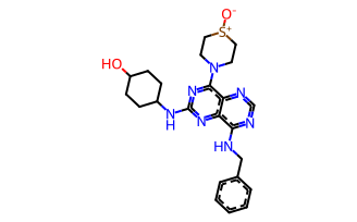 [O-][S+]1CCN(c2nc(NC3CCC(O)CC3)nc3c(NCc4ccccc4)ncnc23)CC1